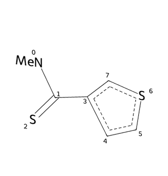 CNC(=S)c1ccsc1